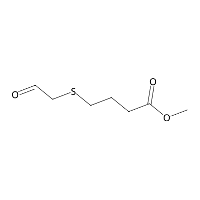 COC(=O)CCCSCC=O